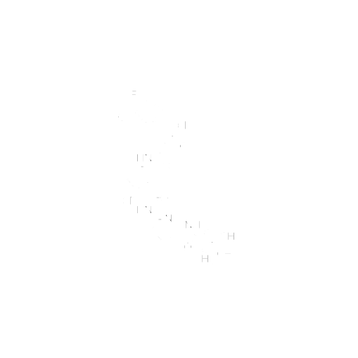 CC(C)(C)OC(=O)Nc1cccc(NC(=O)c2cc(NC(=O)C3C(c4ccc(F)c(Cl)c4)C3(Cl)Cl)ccc2Cl)n1